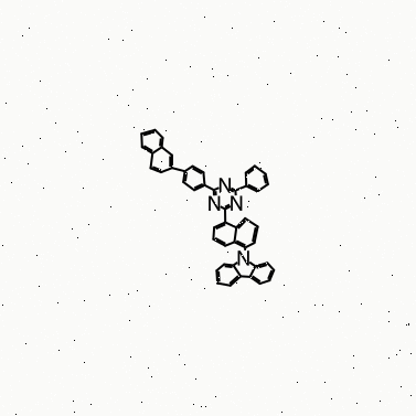 c1ccc(-c2nc(-c3ccc(-c4ccc5ccccc5c4)cc3)nc(-c3cccc4c(-n5c6ccccc6c6ccccc65)cccc34)n2)cc1